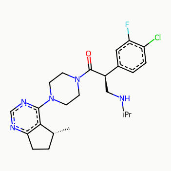 CC(C)NC[C@@H](C(=O)N1CCN(c2ncnc3c2[C@H](C)CC3)CC1)c1ccc(Cl)c(F)c1